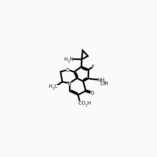 CC1COc2c(C3(N)CC3)c(F)c(N)c3c(=O)c(C(=O)O)cn1c23.Cl